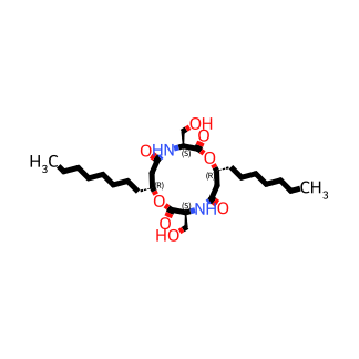 CCCCCCCC[C@@H]1CC(=O)N[C@@H](CO)C(=O)O[C@H](CCCCCCC)CC(=O)N[C@@H](CO)C(=O)O1